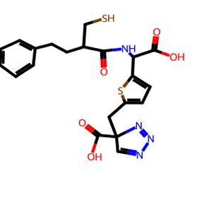 O=C(NC(C(=O)O)c1ccc(CC2(C(=O)O)C=NN=N2)s1)C(CS)CCc1ccccc1